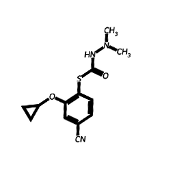 CN(C)NC(=O)Sc1ccc(C#N)cc1OC1CC1